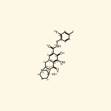 Cc1ccc(CNC(=O)c2cn3c(c(O)c2=O)C(=O)N2C(C3)N3CCC[C@H]2C3)c(F)c1